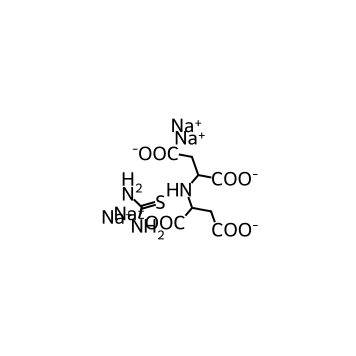 NC(N)=S.O=C([O-])CC(NC(CC(=O)[O-])C(=O)[O-])C(=O)[O-].[Na+].[Na+].[Na+].[Na+]